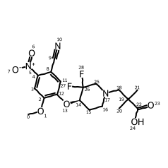 COc1cc([N+](=O)[O-])c(C#N)cc1O[C@@H]1CCN(CC(C)(C)C(=O)O)CC1(F)F